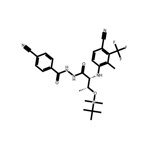 Cc1c(N[C@@H](C(=O)NNC(=O)c2ccc(C#N)cc2)[C@@H](C)O[Si](C)(C)C(C)(C)C)ccc(C#N)c1C(F)(F)F